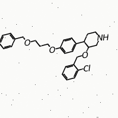 Clc1ccccc1COC1CNCCC1c1ccc(OCCCOCc2ccccc2)cc1